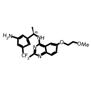 COCCOc1[c]cc2nc(C)nc(N[C@H](C)c3cc(N)cc(C(F)(F)F)c3)c2c1